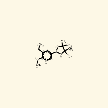 CCc1cc(B2OC(C)(C)C(C)(C)O2)cnc1OC